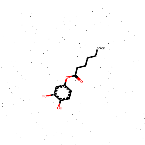 CCCCCCCCCCCCCC(=O)Oc1ccc(O)c(O)c1